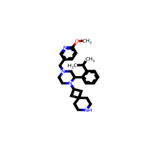 COc1ccc(CN2CCN(C3CC4(CCNCC4)C3)C(c3ccccc3C(C)C)C2)cn1